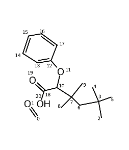 C=O.CC(C)(C)CC(C)(C)C(Oc1ccccc1)C(=O)O